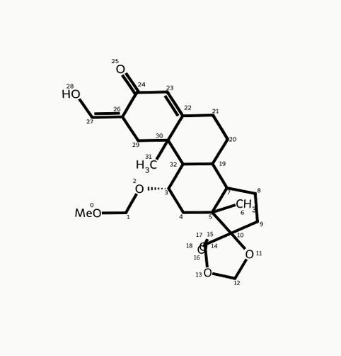 COCO[C@H]1CC2(C)C(CCC23OCOC32COCO2)C2CCC3=CC(=O)/C(=C\O)CC3(C)C21